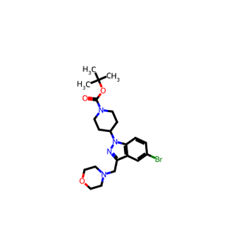 CC(C)(C)OC(=O)N1CCC(n2nc(CN3CCOCC3)c3cc(Br)ccc32)CC1